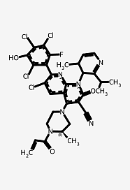 C=CC(=O)N1CCN(c2c(C#N)c(=O)n(C3C(C(C)C)=NC=CC3C)c3nc(-c4c(F)c(Cl)c(Cl)c(O)c4Cl)c(Cl)cc23)C[C@H]1C